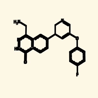 NCc1n[nH]c(=O)c2ccc(C3C=C(Oc4ccc(F)cc4)C=NC3)cc12